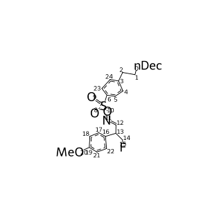 CCCCCCCCCCCCc1ccc(S(=O)(=O)ON=CC(CF)c2ccc(OC)cc2)cc1